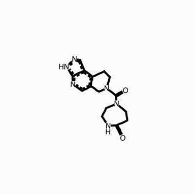 O=C1CCN(C(=O)N2CCc3c(cnc4[nH]ncc34)C2)CCN1